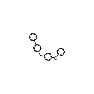 c1ccc(Oc2ccc(Cc3ccc(-c4ccccc4)cc3)cc2)cc1